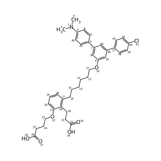 CN(C)c1ccc(-c2cc(OCCCCCCc3cccc(OCCCC(=O)O)c3CCC(=O)O)cc(-c3ccc(Cl)cc3)c2)cc1